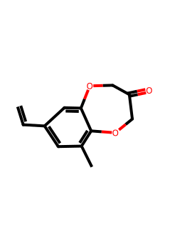 C=Cc1cc(C)c2c(c1)OCC(=O)CO2